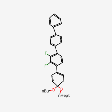 CCCCCCCOC1(OCCCC)C=CC(c2ccc(-c3ccc(-c4ccccc4)cc3)c(F)c2F)=CC1